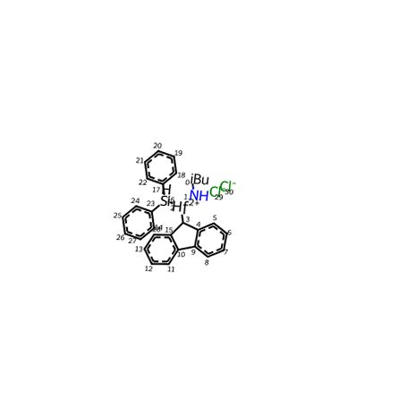 CCC(C)[NH][Hf+2]([CH]1c2ccccc2-c2ccccc21)[SiH](c1ccccc1)c1ccccc1.[Cl-].[Cl-]